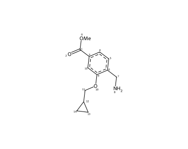 COC(=O)c1ccc(CN)c(OCC2CC2)c1